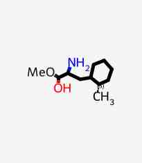 COC(O)C(N)CC1CCCC[C@@H]1C